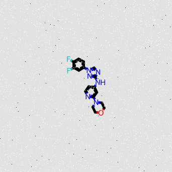 Fc1ccc(-n2cnc(Nc3ccnc(N4CCOCC4)c3)n2)cc1F